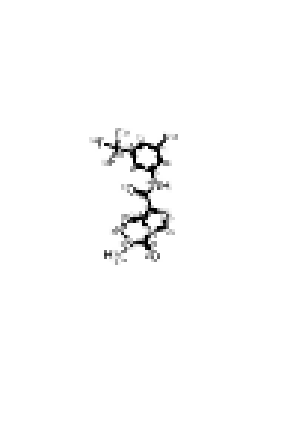 Cn1nnc2c(C(=O)Nc3cc(F)cc(C(F)(F)F)c3)ncn2c1=O